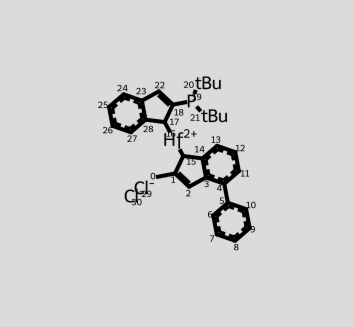 CC1=Cc2c(-c3ccccc3)cccc2[CH]1[Hf+2][CH]1C(P(C(C)(C)C)C(C)(C)C)=Cc2ccccc21.[Cl-].[Cl-]